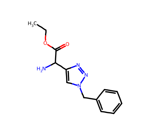 CCOC(=O)C(N)c1cn(Cc2ccccc2)nn1